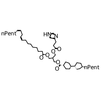 CCCCC/C=C\C/C=C\CCCCCCCC(=O)OCC(COC(=O)CCc1c[nH]cn1)COC(=O)[C@H]1CC[C@H]([C@H]2CC[C@H](CCCCC)CC2)CC1